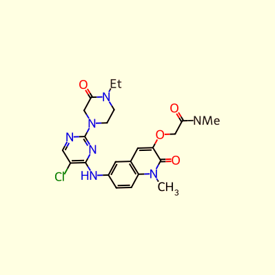 CCN1CCN(c2ncc(Cl)c(Nc3ccc4c(c3)cc(OCC(=O)NC)c(=O)n4C)n2)CC1=O